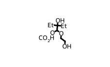 CCC(O)(CC)C(OCCO)OC(=O)O